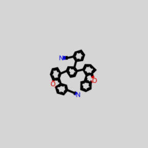 N#Cc1ccc2oc3cccc(-c4ccc(-c5cccc6oc7ccccc7c56)c(-c5ccccc5C#N)c4)c3c2c1